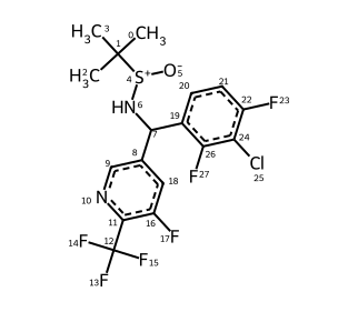 CC(C)(C)[S+]([O-])NC(c1cnc(C(F)(F)F)c(F)c1)c1ccc(F)c(Cl)c1F